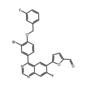 O=Cc1ccc(-c2cc3c(-c4ccc(OCc5cccc(F)c5)c(Br)c4)ncnc3cc2F)o1